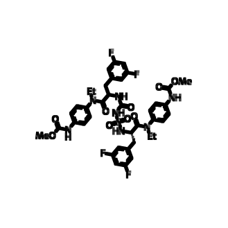 CCN(C(=O)C(Cc1cc(F)cc(F)c1)NC(=O)NS(=O)(=O)N[C@@H](Cc1cc(F)cc(F)c1)C(=O)N(CC)c1ccc(NC(=O)OC)cc1)c1ccc(NC(=O)OC)cc1